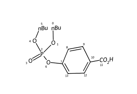 CCCCOP(=O)(OCCCC)Oc1ccc(C(=O)O)cc1